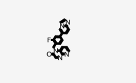 O=c1cnc2ncccc2n1Cc1ccc(-c2ccc3nccn3c2)cc1F